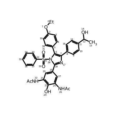 CCOc1ccc(-c2c(-c3ccc(C(C)O)cc3)nc(-c3cc(NC(C)=O)c(O)c(NC(C)=O)c3)n2S(=O)(=O)c2ccccc2)cc1